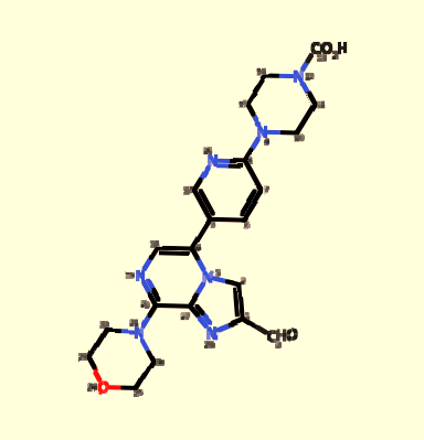 O=Cc1cn2c(-c3ccc(N4CCN(C(=O)O)CC4)nc3)cnc(N3CCOCC3)c2n1